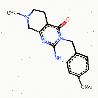 COc1ccc(Cn2c(N)nc3c(c2=O)CCN(C=O)C3)cc1